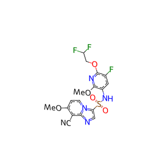 COc1ccn2c(S(=O)(=O)Nc3cc(F)c(OCC(F)F)nc3OC)cnc2c1C#N